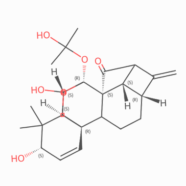 C=C1C2C(=O)[C@@]34C(CC[C@@H]1[C@@H]23)[C@]12C=C[C@H](O)C(C)(C)[C@H]1[C@H](O)[C@@]4(OC(C)(C)O)OC2